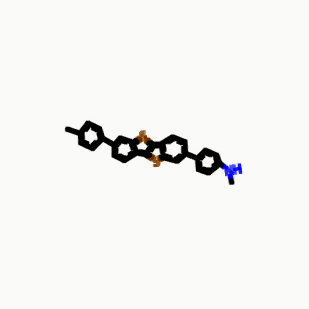 CNc1ccc(-c2ccc3c(c2)sc2c4ccc(-c5ccc(C)cc5)cc4sc32)cc1